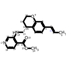 C/C=C/c1ccc2c(c1)OCC[C@H]2CNc1cnccc1C(=O)OC